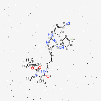 C[C@@H](C(=O)NCCCC#Cc1cnc(Nc2ccc(C#N)cc2)nc1Nc1ccc(F)cc1)N(C)C(=O)OC(C)(C)C